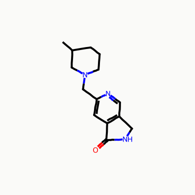 CC1CCCN(Cc2cc3c(cn2)CNC3=O)C1